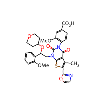 COc1ccccc1C(Cn1c(=O)n(-c2ccc(C(=O)O)cc2OC)c(=O)c2c(C)c(-c3ncco3)sc21)OC1CCOCC1